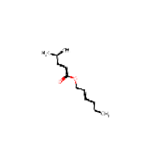 CCCCCCOC(=O)CC[C](C)C